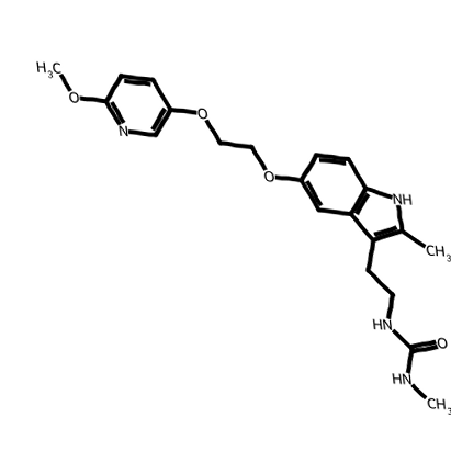 CNC(=O)NCCc1c(C)[nH]c2ccc(OCCOc3ccc(OC)nc3)cc12